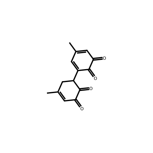 CC1=CC(=O)C(=O)C(C2CC(C)=CC(=O)C2=O)=C1